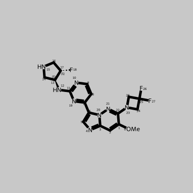 COc1cc2ncc(-c3ccnc(N[C@H]4CNC[C@@H]4F)n3)n2nc1N1CC(F)(F)C1